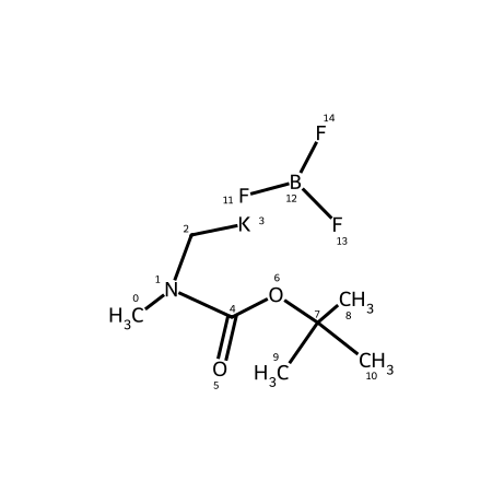 CN([CH2][K])C(=O)OC(C)(C)C.FB(F)F